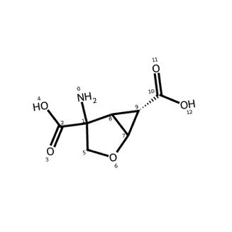 NC1(C(=O)O)COC2C1[C@@H]2C(=O)O